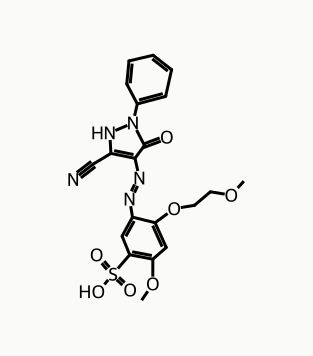 COCCOc1cc(OC)c(S(=O)(=O)O)cc1N=Nc1c(C#N)[nH]n(-c2ccccc2)c1=O